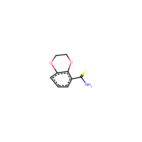 NC(=S)c1cccc2c1OCCO2